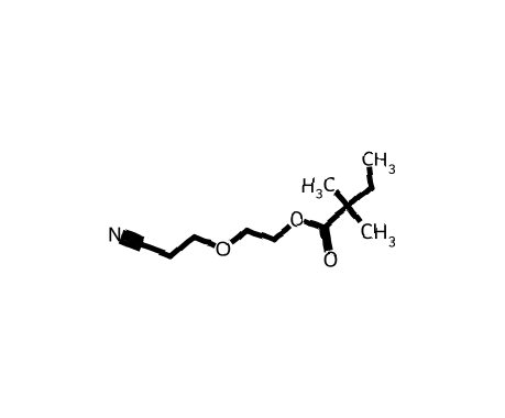 CCC(C)(C)C(=O)OCCOCCC#N